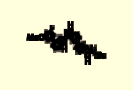 COc1cc(F)cc(-c2cccc3[nH]c(-c4n[nH]c5ccc(-c6cncc(NC(O)CC(C)(C)C)c6)nc45)cc23)c1